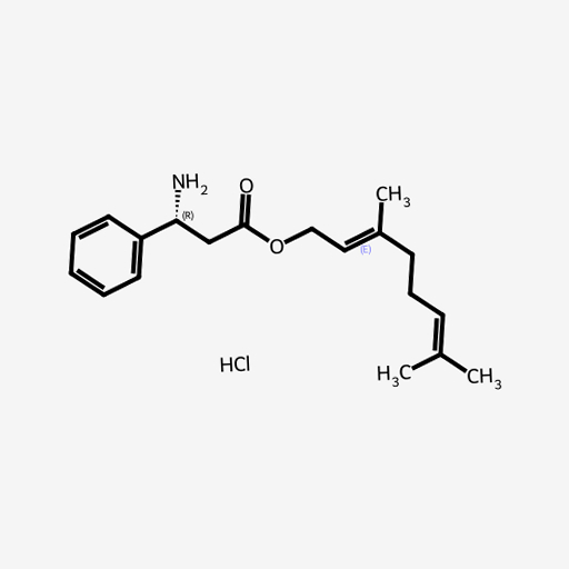 CC(C)=CCC/C(C)=C/COC(=O)C[C@@H](N)c1ccccc1.Cl